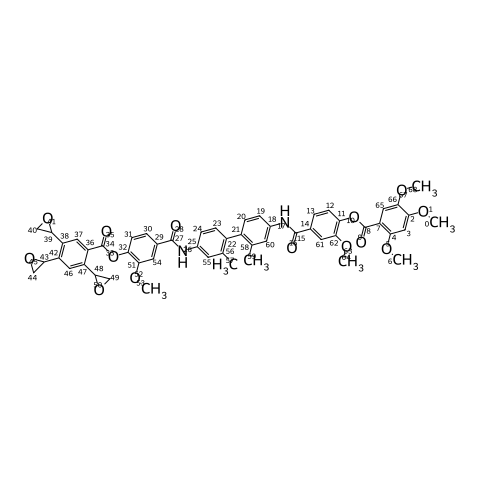 COc1cc(OC)c(C(=O)Oc2ccc(C(=O)Nc3ccc(-c4ccc(NC(=O)c5ccc(OC(=O)c6cc(C7CO7)c(C7CO7)cc6C6CO6)c(OC)c5)cc4C)c(C)c3)cc2OC)cc1OC